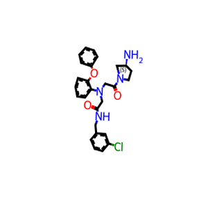 N[C@H]1CCN(C(=O)CN(CC(=O)NCc2cccc(Cl)c2)c2ccccc2Oc2ccccc2)C1